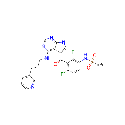 CCCS(=O)(=O)Nc1ccc(F)c(C(=O)c2c[nH]c3ncnc(NCCCc4cccnc4)c23)c1F